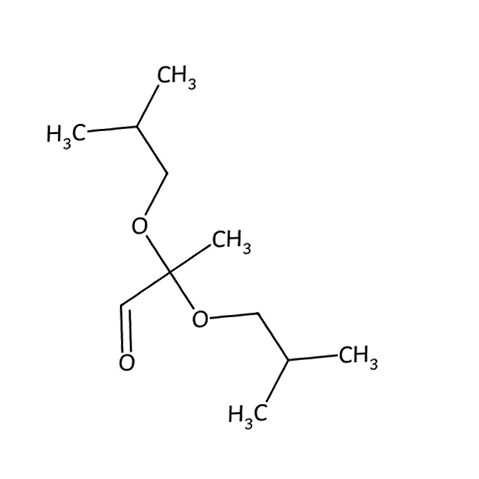 CC(C)COC(C)(C=O)OCC(C)C